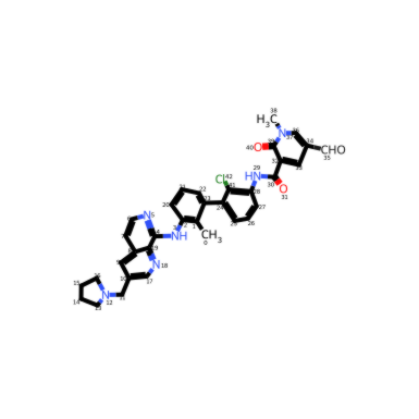 Cc1c(Nc2nccc3cc(CN4CCCC4)cnc23)cccc1-c1cccc(NC(=O)c2cc(C=O)cn(C)c2=O)c1Cl